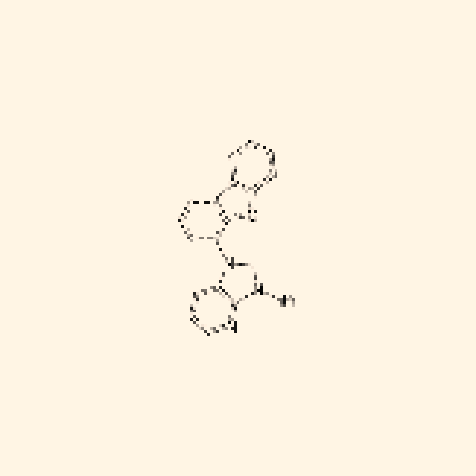 CC(C)N1CN(c2cccc3c2oc2ccccc23)c2cccnc21